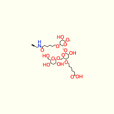 C#CCNC(=O)CCCCCO[C@H]1CC(O)[C@@H](OC)O[C@@H]1CO[C@H]1O[C@H](CO[C@H]2O[C@H](CO)[C@@H](O)C[C@H]2O)[C@@H](OCCCCCC(=O)O)C[C@H]1O